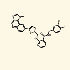 Cn1cnc2cnc3ccc(C4=CCC(CNc5ncccc5C(=O)NCc5ccc(F)c(F)c5)S4)cc3c21